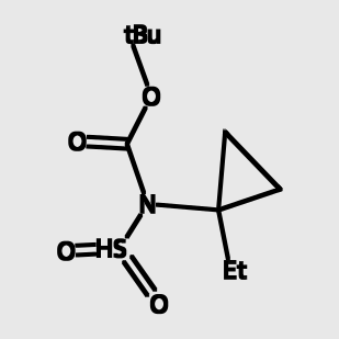 CCC1(N(C(=O)OC(C)(C)C)[SH](=O)=O)CC1